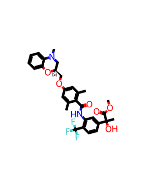 COC(=O)C(C)(O)c1ccc(C(F)(F)F)c(NC(=O)c2c(C)cc(OC[C@@H]3CN(C)c4ccccc4O3)cc2C)c1